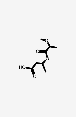 COC(C)C(=O)OC(C)CC(=O)O